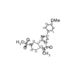 COc1ccc(-c2cn(C(=O)N(C)C3CCN(S(C)(=O)=O)CC3)cn2)cc1